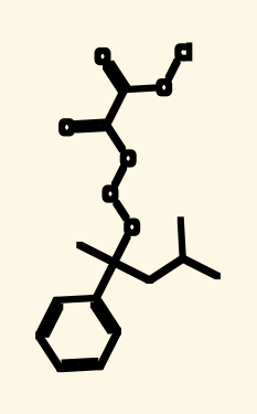 CC(C)CC(C)(OOOC(=O)C(=O)OCl)c1ccccc1